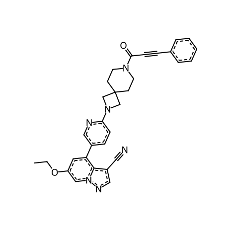 CCOc1cc(-c2ccc(N3CC4(CCN(C(=O)C#Cc5ccccc5)CC4)C3)nc2)c2c(C#N)cnn2c1